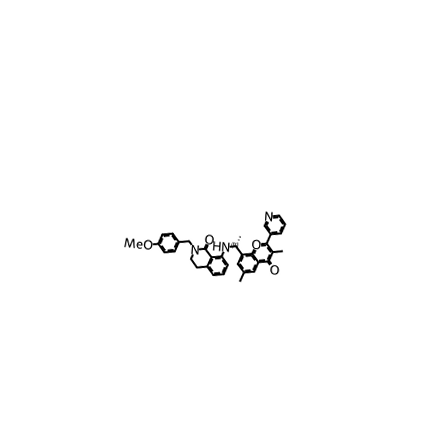 COc1ccc(CN2CCc3cccc(N[C@H](C)c4cc(C)cc5c(=O)c(C)c(-c6cccnc6)oc45)c3C2=O)cc1